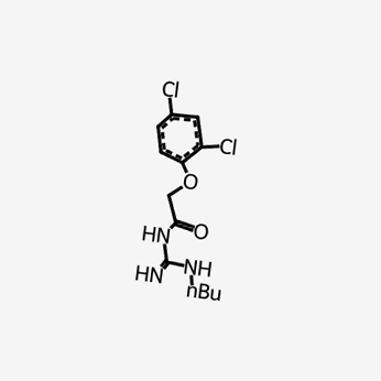 CCCCNC(=N)NC(=O)COc1ccc(Cl)cc1Cl